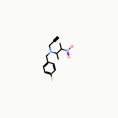 C#CCN(Cc1ccc(F)cc1)C(C)C(C)[N+](=O)[O-]